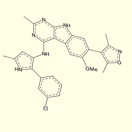 COc1cc2c(cc1-c1c(C)noc1C)[nH]c1nc(C)nc(Nc3cc(C)[nH]c3-c3cccc(Cl)c3)c12